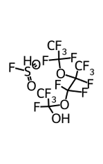 O=[SH](=O)F.OC(F)(OC(F)(F)C(F)(OC(F)(F)C(F)(F)F)C(F)(F)F)C(F)(F)F